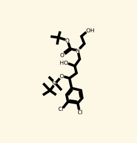 CC(C)(C)OC(=O)N(CCO)CC(O)CC(O[Si](C)(C)C(C)(C)C)c1ccc(Cl)c(Cl)c1